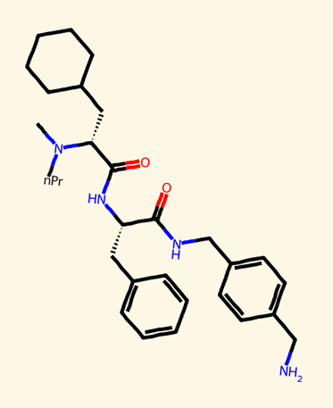 CCCN(C)[C@H](CC1CCCCC1)C(=O)N[C@@H](Cc1ccccc1)C(=O)NCc1ccc(CN)cc1